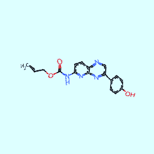 C=CCOC(=O)Nc1ccc2ncc(-c3ccc(O)cc3)nc2n1